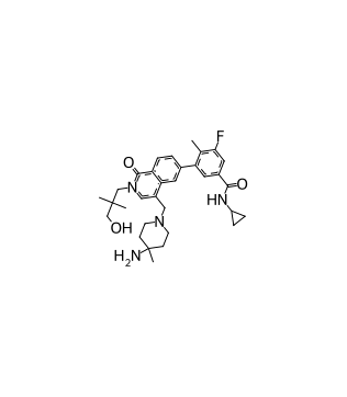 Cc1c(F)cc(C(=O)NC2CC2)cc1-c1ccc2c(=O)n(CC(C)(C)CO)cc(CN3CCC(C)(N)CC3)c2c1